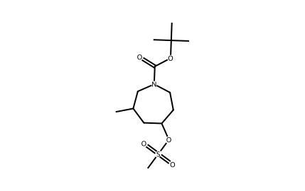 CC1CC(OS(C)(=O)=O)CCN(C(=O)OC(C)(C)C)C1